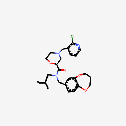 CC(C)CN(Cc1ccc2c(c1)OCCCO2)C(=O)C1CN(Cc2cccnc2Cl)CCO1